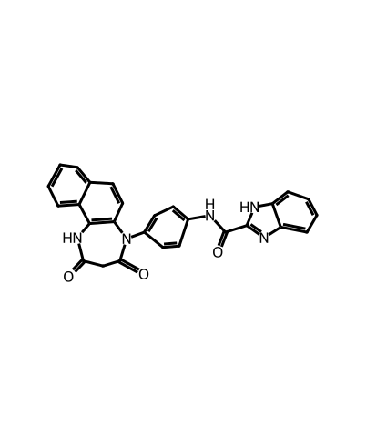 O=C1CC(=O)N(c2ccc(NC(=O)c3nc4ccccc4[nH]3)cc2)c2ccc3ccccc3c2N1